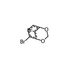 Brc1ccc2c(Br)c1OCO2